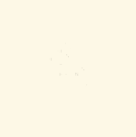 [2H]C([2H])([2H])n1c(=O)ccc2nn(C3CCCCO3)c(O)c21